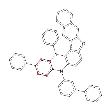 c1ccc(-c2cccc(N(c3ccccc3)c3ccc4oc5cc6ccccc6cc5c4c3N(c3ccccc3)c3cccc(-c4ccccc4)c3)c2)cc1